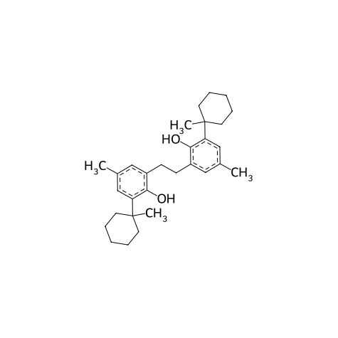 Cc1cc(CCc2cc(C)cc(C3(C)CCCCC3)c2O)c(O)c(C2(C)CCCCC2)c1